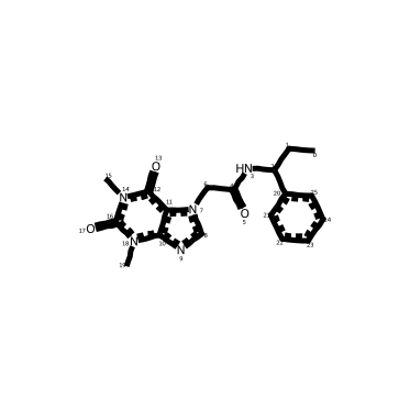 CCC(NC(=O)Cn1cnc2c1c(=O)n(C)c(=O)n2C)c1ccccc1